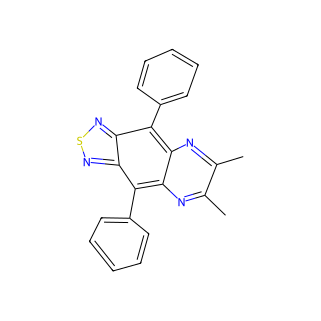 Cc1nc2c(-c3ccccc3)c3nsnc3c(-c3ccccc3)c2nc1C